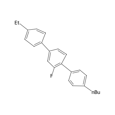 CCCCc1ccc(-c2ccc(-c3ccc(CC)cc3)cc2F)cc1